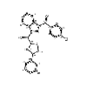 O=C(c1cn(C(=O)c2ccc(Cl)cc2)c2ccccc12)C1CSC(c2cccnc2)N1